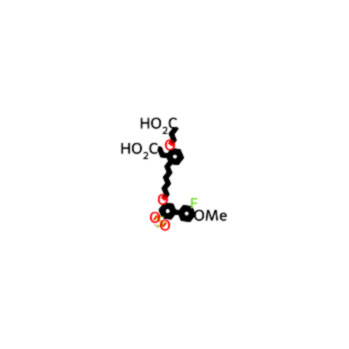 COc1ccc(-c2cc(OCCCCCCc3cccc(OCCCC(=O)O)c3CCC(=O)O)cc(S(C)(=O)=O)c2)cc1F